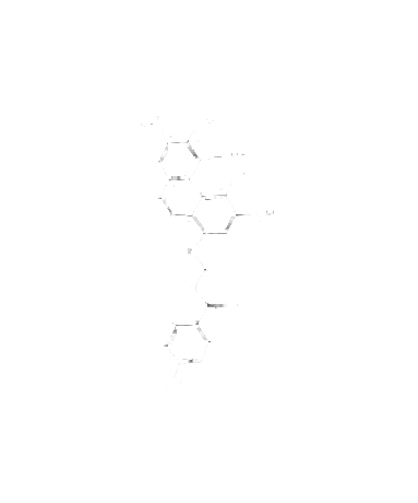 COc1cc(NCCC(=O)c2ccc(C(F)(F)F)cc2)c(/C=C\c2cc(OC)c(OC)c(OC)c2)cc1F